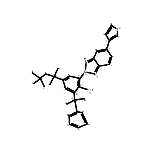 CC(C)(C)CC(C)(C)c1cc(-n2nc3ccc(-c4ccsc4)cc3n2)c(O)c(C(C)(C)c2ccccc2)c1